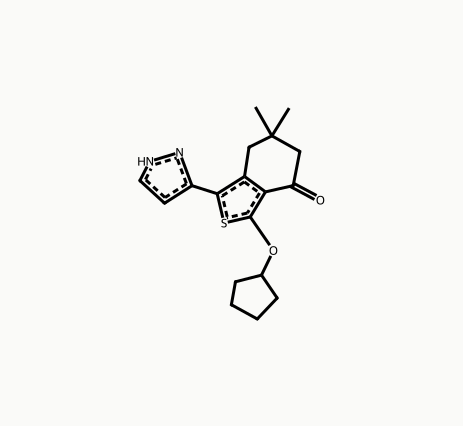 CC1(C)CC(=O)c2c(OC3CCCC3)sc(-c3cc[nH]n3)c2C1